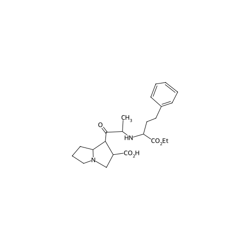 CCOC(=O)C(CCc1ccccc1)NC(C)C(=O)C1C(C(=O)O)CN2CCCC12